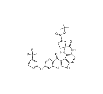 CC(C)(C)OC(=O)N1CCC2(C1)Nc1c(cnc3[nH]cc(C(=O)c4ccc(Oc5cc(C(F)(F)F)ccn5)cc4Cl)c13)NC2=O